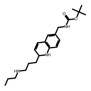 CCCNCCCC1C=Cc2cc(CNC(=O)OC(C)(C)C)ccc2N1